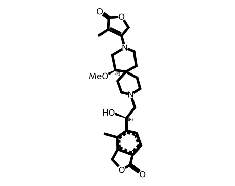 CO[C@H]1CN(C2=C(C)C(=O)OC2)CCC12CCN(C[C@H](O)c1ccc3c(c1C)COC3=O)CC2